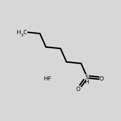 CCCCCC[SH](=O)=O.F